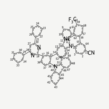 N#Cc1ccc(-n2c3ccccc3c3cc(-c4cc(-c5nc(-c6ccccc6)cc(-c6ccccc6)n5)ccc4-n4c5ccccc5c5ccccc54)ccc32)c(-c2ccc(C(F)(F)F)cc2C#N)c1